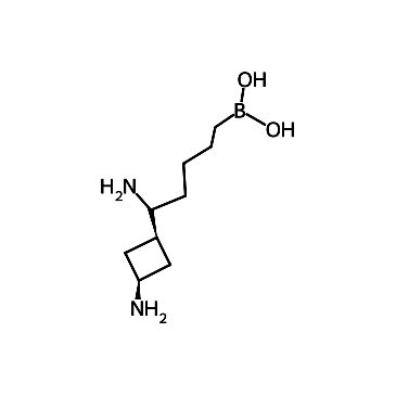 NC(CCCCB(O)O)[C@H]1C[C@@H](N)C1